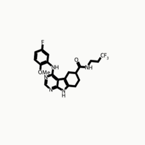 COc1ccc(F)cc1Nc1ncnc2[nH]c3c(c12)CC(C(=O)NCCC(F)(F)F)CC3